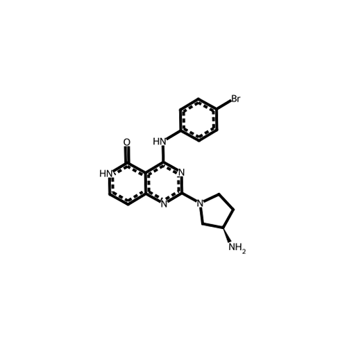 N[C@@H]1CCN(c2nc(Nc3ccc(Br)cc3)c3c(=O)[nH]ccc3n2)C1